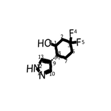 OC1CC(F)(F)CC[C@@H]1c1cn[nH]c1